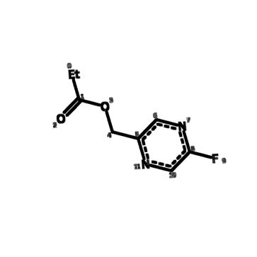 CCC(=O)OCc1cnc(F)cn1